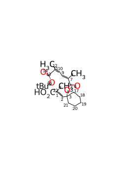 CC(=CC1(OC(=O)C(C)=CC=C(C)C(=O)OC(C)(C)C)CCCCC1)C(=O)O